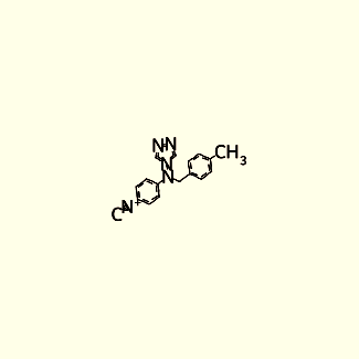 [C-]#[N+]c1ccc(N(Cc2ccc(C)cc2)n2cnnc2)cc1